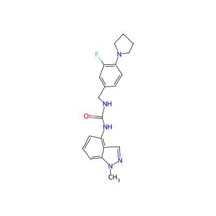 Cn1ncc2c(NC(=O)NCc3ccc(N4CCCC4)c(F)c3)cccc21